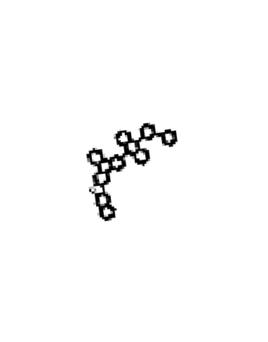 c1ccc(-c2cccc(-c3c4ccccc4c(-c4ccc5c(c4)c4ccccc4c4cc6oc7cc8ccccc8cc7c6cc54)c4ccccc34)c2)cc1